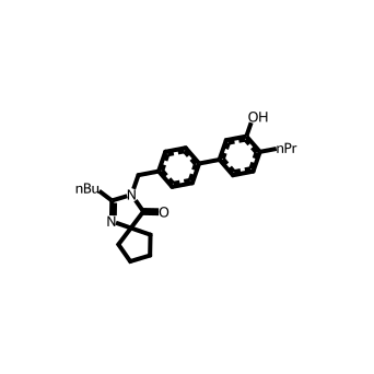 CCCCC1=NC2(CCCC2)C(=O)N1Cc1ccc(-c2ccc(CCC)c(O)c2)cc1